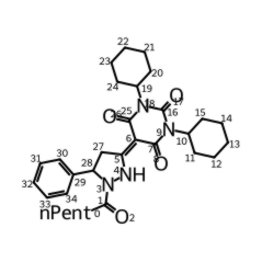 CCCCCC(=O)N1NC(=C2C(=O)N(C3CCCCC3)C(=O)N(C3CCCCC3)C2=O)CC1c1ccccc1